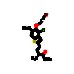 COC(=O)[C@@H](C)CCc1cc2c(Cl)c(OCCCBr)c(OC)cc2s1